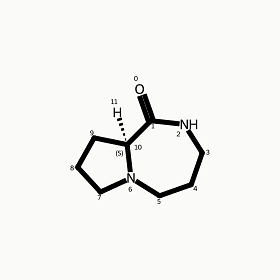 O=C1NCCCN2CCC[C@@H]12